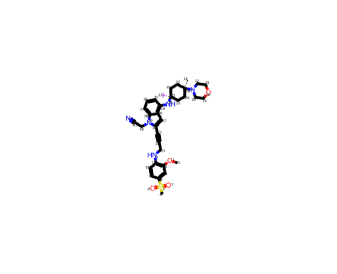 COc1cc(S(C)(=O)=O)ccc1NCC#Cc1cc2c(N[C@]3(I)CC[C@](C)(N4CCOCC4)CC3)cccc2n1CC#N